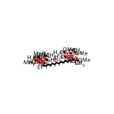 CCC(CCCCCC(=O)CCCCCC(CC)[Si](OC(C)OC(C)OC)(OC(C)OC(C)OC)OC(C)OC(C)OC)[Si](OC(C)OC(C)OC)(OC(C)OC(C)OC)OC(C)OC(C)OC